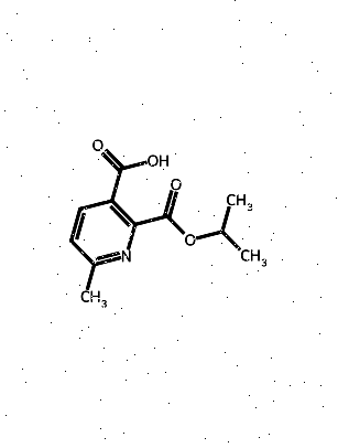 Cc1ccc(C(=O)O)c(C(=O)OC(C)C)n1